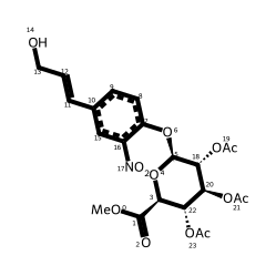 COC(=O)[C@H]1O[C@@H](Oc2ccc(/C=C/CO)cc2[N+](=O)[O-])[C@H](OC(C)=O)[C@@H](OC(C)=O)[C@@H]1OC(C)=O